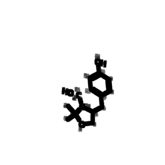 CC1(C)OCC(Cc2ccc(O)cc2)N1C(=O)O